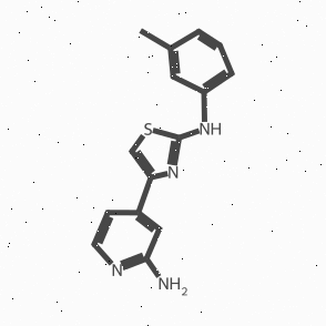 Cc1cccc(Nc2nc(-c3ccnc(N)c3)cs2)c1